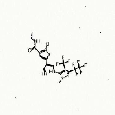 CCNC(=O)c1cc(/C(C=N)=C/Nc2c(C(F)(F)F)c(C(F)(F)C(F)(F)F)nn2C)sc1Cl